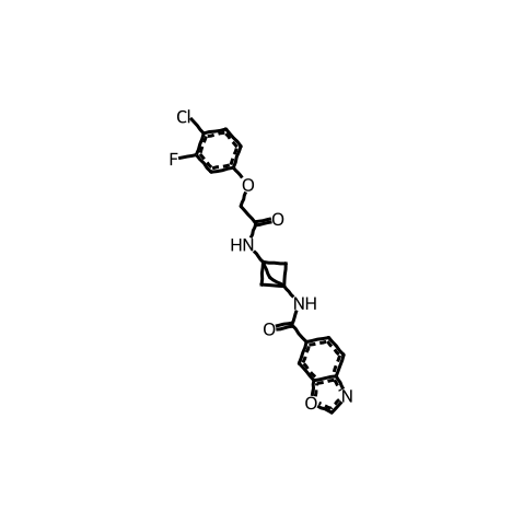 O=C(COc1ccc(Cl)c(F)c1)NC12CC(NC(=O)c3ccc4ncoc4c3)(C1)C2